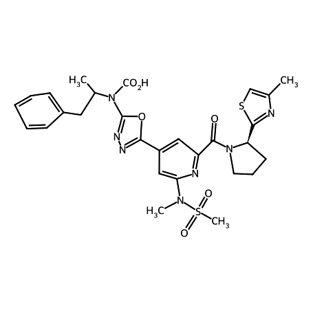 Cc1csc([C@H]2CCCN2C(=O)c2cc(-c3nnc(N(C(=O)O)C(C)Cc4ccccc4)o3)cc(N(C)S(C)(=O)=O)n2)n1